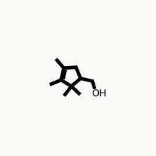 CC1=C(C)C(C)(C)C(CO)C1